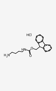 Cl.NCCCCNC(=O)OCC1c2ccccc2-c2ccccc21